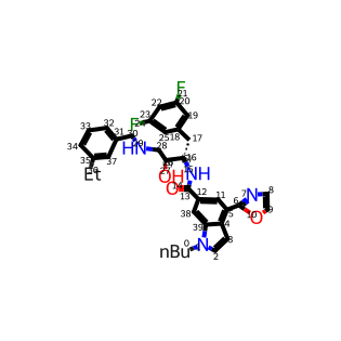 CCCCn1ccc2c(-c3ncco3)cc(C(=O)N[C@@H](Cc3cc(F)cc(F)c3)[C@@H](O)CNCc3cccc(CC)c3)cc21